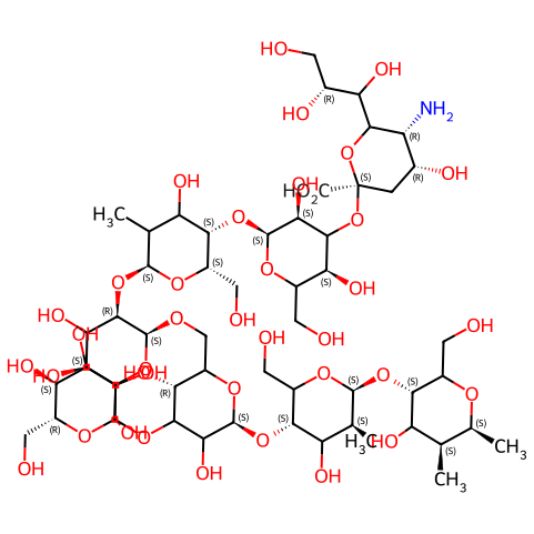 CC1C(O)[C@H](O[C@@H]2OC(CO)[C@H](O)C(O[C@]3(C(=O)O)C[C@@H](O)[C@@H](N)C(C(O)[C@H](O)CO)O3)[C@@H]2O)[C@H](CO)O[C@H]1O[C@@H]1C(O)[C@H](O)C(CO)O[C@@H]1OCC1O[C@@H](O[C@@H]2C(CO)O[C@@H](O[C@@H]3C(CO)O[C@@H](C)[C@@H](C)C3O)[C@@H](C)C2O)C(O)C(OC2O[C@H](CO)[C@@H](O)C(O)C2O)[C@@H]1O